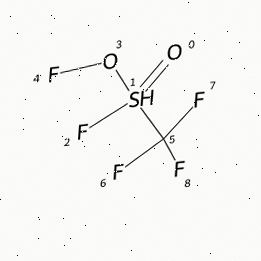 O=[SH](F)(OF)C(F)(F)F